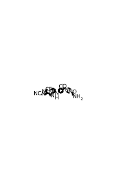 N#CCn1cc(-c2cnc3c(Nc4ccc(C(=O)N5CCN(C(=O)CN)CC5)c(Cl)c4)cccn23)c(C(F)(F)F)n1